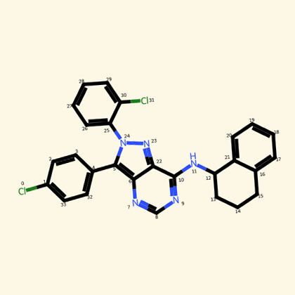 Clc1ccc(-c2c3ncnc(NC4CCCc5ccccc54)c3nn2-c2ccccc2Cl)cc1